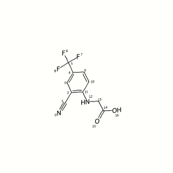 N#Cc1cc(C(F)(F)F)ccc1NCC(=O)O